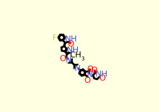 Cc1[nH]c2c(c1C(=O)N1CC(C3CN(c4ccc5c(c4)C(=O)N(C4CCC(=O)NC4=O)C5=O)C3)C1)CC/C2=C1/C(=O)Nc2ccc(F)cc21